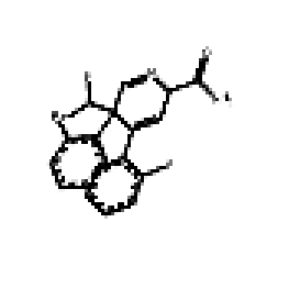 NC(=O)C1C=C(c2ccccc2F)C(c2ccccc2F)(C(F)F)C=N1